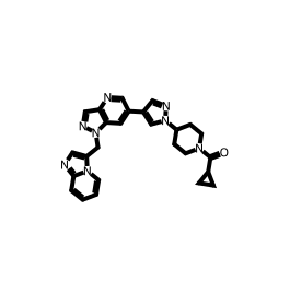 O=C(C1CC1)N1CCC(n2cc(-c3cnc4cnn(Cc5cnc6ccccn56)c4c3)cn2)CC1